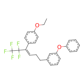 CCOc1ccc(/C(=C\CCc2cccc(Oc3ccccc3)c2)C(F)(F)C(F)(F)F)cc1